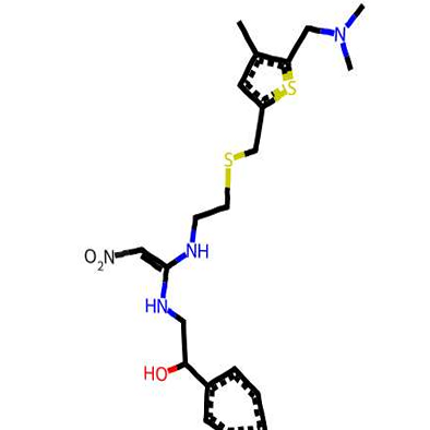 Cc1cc(CSCCN/C(=C/[N+](=O)[O-])NCC(O)c2ccccc2)sc1CN(C)C